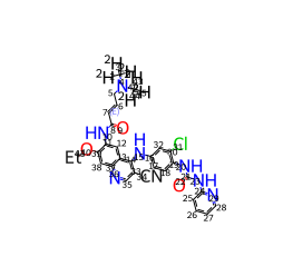 [2H]C([2H])([2H])N(C/C=C/C(=O)Nc1cc2c(Nc3ccc(NC(=O)Nc4ccccn4)c(Cl)c3)c(C#N)cnc2cc1OCC)C([2H])([2H])[2H]